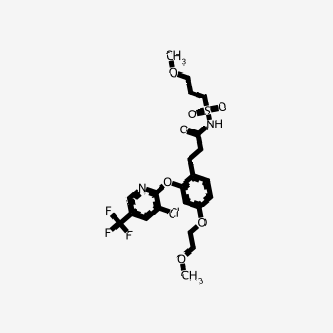 COCCCS(=O)(=O)NC(=O)CCc1ccc(OCCOC)cc1Oc1ncc(C(F)(F)F)cc1Cl